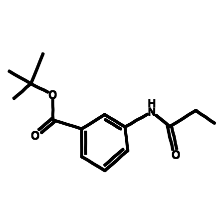 CCC(=O)Nc1cccc(C(=O)OC(C)(C)C)c1